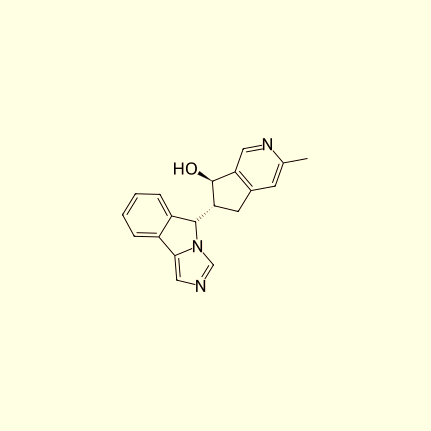 Cc1cc2c(cn1)[C@H](O)[C@@H](C1c3ccccc3-c3cncn31)C2